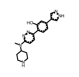 CN(c1ccc(-c2ccc(-c3cn[nH]c3)cc2O)nn1)C1CCNCC1